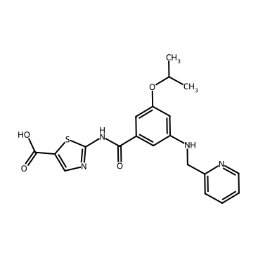 CC(C)Oc1cc(NCc2ccccn2)cc(C(=O)Nc2ncc(C(=O)O)s2)c1